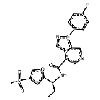 CC[C@H](NC(=O)c1cncc2c1cnn2-c1ccc(F)cc1)c1cc(S(C)(=O)=O)co1